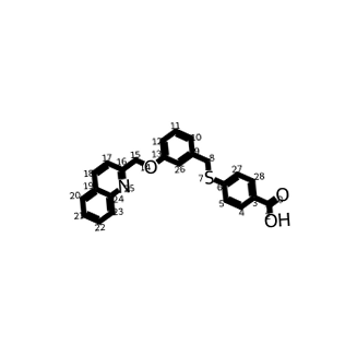 O=C(O)c1ccc(SCc2cccc(OCc3ccc4ccccc4n3)c2)cc1